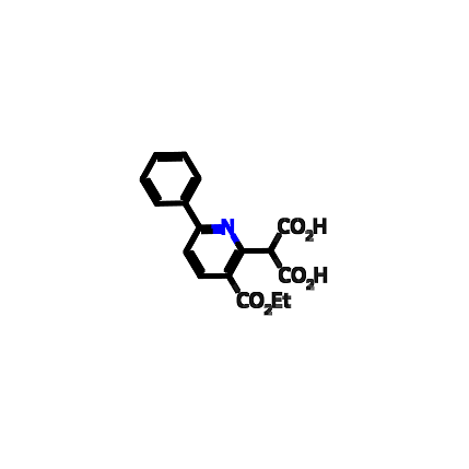 CCOC(=O)c1ccc(-c2ccccc2)nc1C(C(=O)O)C(=O)O